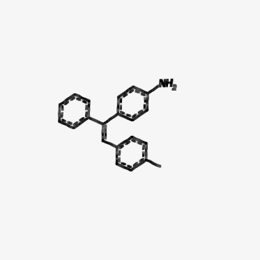 Cc1ccc(C=C(c2ccccc2)c2ccc(N)cc2)cc1